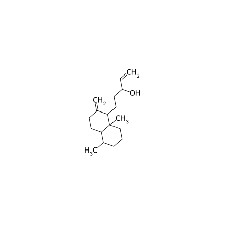 C=CC(O)CCC1C(=C)CCC2C(C)CCCC12C